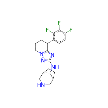 Fc1ccc(C2CCCn3nc(NC4C5CCC4CNC5)nc32)c(F)c1F